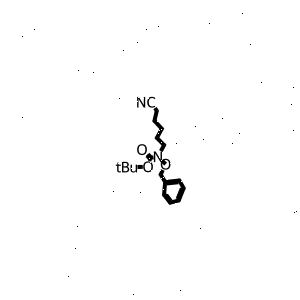 CC(C)(C)OC(=O)N(CCCCCC#N)OCc1ccccc1